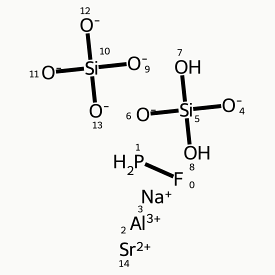 FP.[Al+3].[Na+].[O-][Si]([O-])(O)O.[O-][Si]([O-])([O-])[O-].[Sr+2]